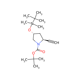 C#C[C@@H]1C[C@@H](O[Si](C)(C)C(C)(C)C)CN1C(=O)OC(C)(C)C